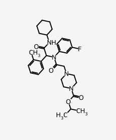 Cc1ccccc1C(C(=O)NC1CCCCC1)N(C(=O)CN1CCN(C(=O)OC(C)C)CC1)c1cccc(F)c1